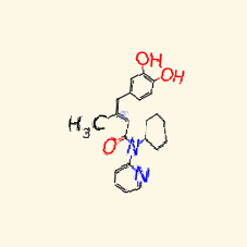 C/C(=C\C(=O)N(c1ccccn1)C1CCCCC1)Cc1ccc(O)c(O)c1